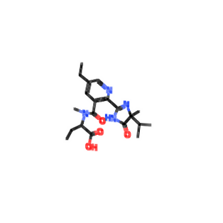 CCc1cnc(C2=NC(C)(C(C)C)C(=O)N2)c(C(=O)N(C)C(CC)C(=O)O)c1